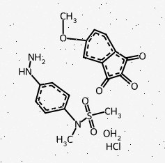 CN(c1ccc(NN)cc1)S(C)(=O)=O.COc1ccc2c(=O)c(=O)c(=O)c2c1.Cl.O